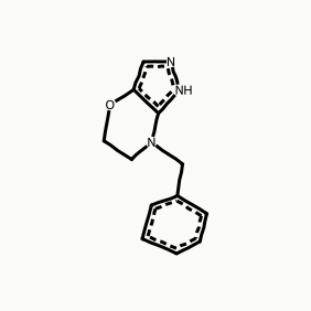 c1ccc(CN2CCOc3cn[nH]c32)cc1